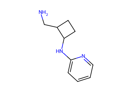 NCC1CCC1Nc1ccccn1